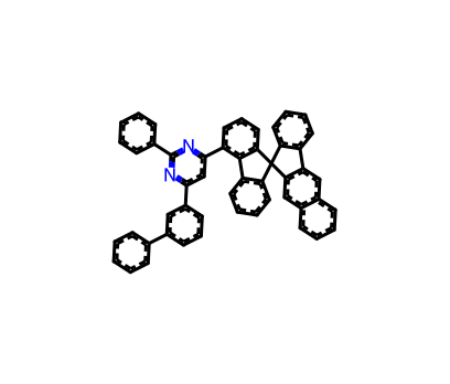 c1ccc(-c2cccc(-c3cc(-c4cccc5c4-c4ccccc4C54c5ccccc5-c5cc6ccccc6cc54)nc(-c4ccccc4)n3)c2)cc1